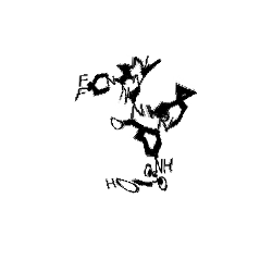 Cc1ncc2c(N3CCC(F)(F)CC3)nc(NC(=O)c3ccc(NS(=O)(=O)CCO)cc3N3CCC4(CC3)CC4)cn12